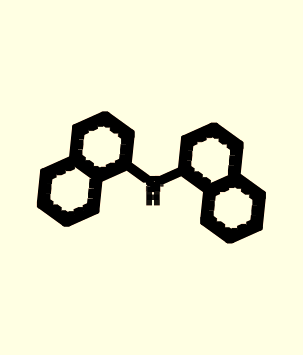 c1ccc2c([SiH]c3cccc4ccccc34)cccc2c1